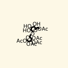 CC(=O)OCC1O[C@H](OCC2OC(OC(C)=O)C(OC(C)=O)C(OC(C)=O)[C@@H]2OC(C)=O)C(O)C(O)[C@H]1O